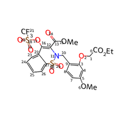 CCOC(=O)COc1cc(OC)ccc1CN1C(C(=O)OC)=C(OS(=O)(=O)C(F)(F)F)c2ccccc2S1(=O)=O